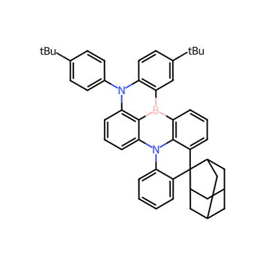 CC(C)(C)c1ccc(N2c3ccc(C(C)(C)C)cc3B3c4cccc5c4N(c4ccccc4C54C5CC6CC(C5)CC4C6)c4cccc2c43)cc1